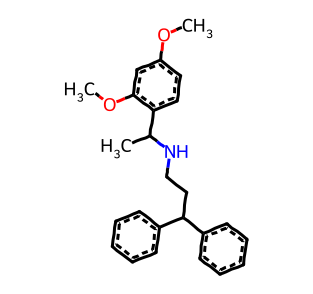 COc1ccc(C(C)NCCC(c2ccccc2)c2ccccc2)c(OC)c1